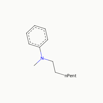 CCCCCCCN(C)c1ccccc1